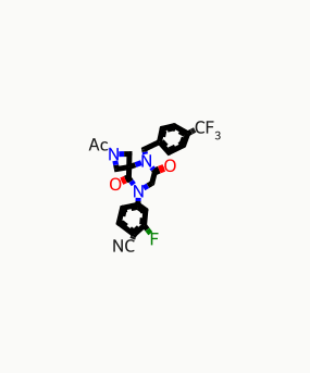 CC(=O)N1CC2(C1)C(=O)N(c1ccc(C#N)c(F)c1)CC(=O)N2Cc1ccc(C(F)(F)F)cc1